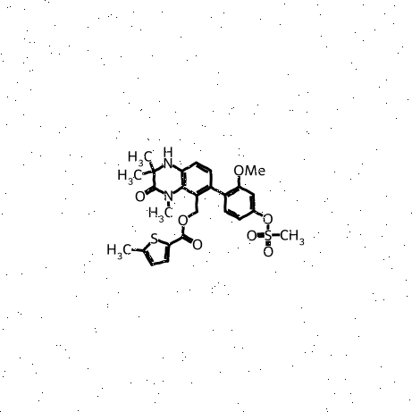 COc1cc(OS(C)(=O)=O)ccc1-c1ccc2c(c1COC(=O)c1ccc(C)s1)N(C)C(=O)C(C)(C)N2